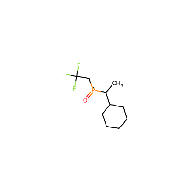 CC(C1CCCCC1)[P](=O)CC(F)(F)F